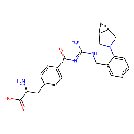 N/C(=N\C(=O)c1ccc(C[C@H](N)C(=O)O)cc1)NCc1ccccc1N1CC2CC2C1